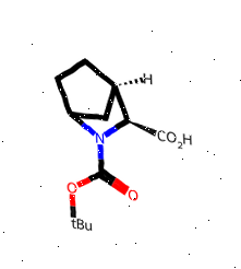 CC(C)(C)OC(=O)N1C2CC[C@H](C2)[C@H]1C(=O)O